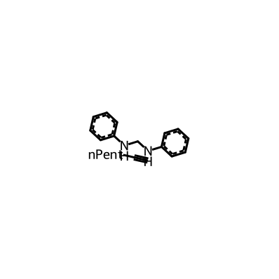 C#CCCCCC.c1ccc(NCNc2ccccc2)cc1